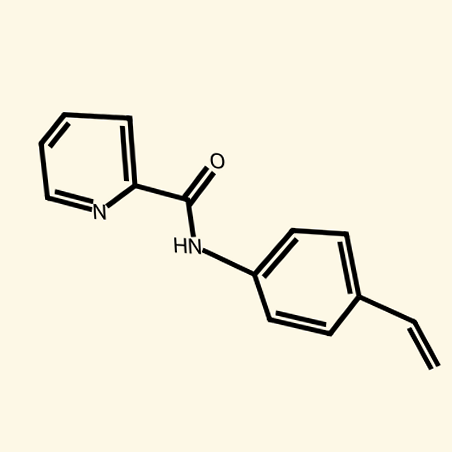 C=Cc1ccc(NC(=O)c2ccccn2)cc1